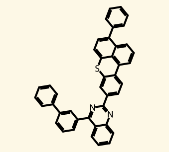 c1ccc(-c2cccc(-c3nc(-c4ccc5c(c4)Sc4ccc(-c6ccccc6)c6cccc-5c46)nc4ccccc34)c2)cc1